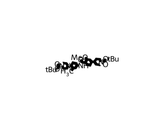 COc1cc(C2=CCN(C(=O)OC(C)(C)C)CC2)ccc1C(=O)Nc1ccc(N2CCN(C(=O)OC(C)(C)C)CC2)c(C)c1